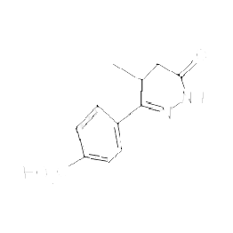 CC1CC(=O)NN=C1c1ccc(C(=O)O)cc1